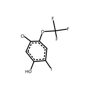 Oc1cc(Cl)c(OC(F)(F)F)cc1I